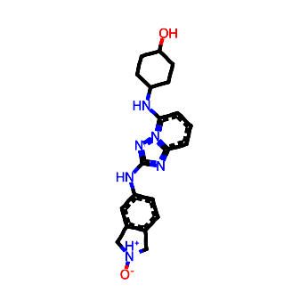 [O-][NH+]1Cc2ccc(Nc3nc4cccc(NC5CCC(O)CC5)n4n3)cc2C1